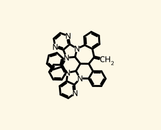 C=C1c2ccccc2N2c3nccnc3N(c3ccccc3)C2C2C1c1ccccc1N1c3ncccc3N(c3ccccc3)C21